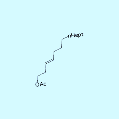 CCCCCCCCCC/C=C/CCOC(C)=O